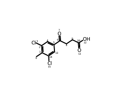 Cc1c(Cl)cc(C(=O)CCC(=O)O)cc1Cl